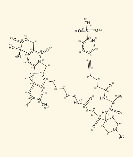 CCN1CCC(NC(=O)C(NC(=O)CCCC#Cc2cnc(S(C)(=O)=O)nc2)C(C)C)(C(=O)NCC(=O)NCOCCCc2c3c(nc4cc(F)c(C)cc24)-c2cc4c(c(=O)n2C3)COC(=O)[C@]4(O)CC)CC1